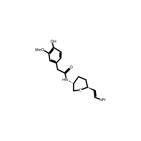 CCC/C=C/[C@H]1CC[C@H](NC(=O)Cc2ccc(O)c(OC)c2)CC1